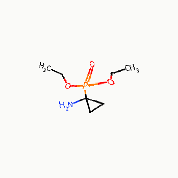 CCOP(=O)(OCC)C1(N)CC1